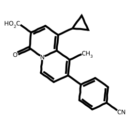 Cc1c(-c2ccc(C#N)cc2)ccn2c(=O)c(C(=O)O)cc(C3CC3)c12